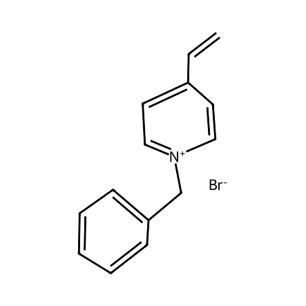 C=Cc1cc[n+](Cc2ccccc2)cc1.[Br-]